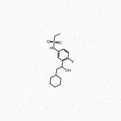 CCS(=O)(=O)Nc1ccc(F)c(C(O)CN2CCCCC2)c1